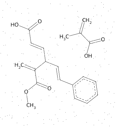 C=C(C(=O)OC)C(C=CC(=O)O)C=Cc1ccccc1.C=C(C)C(=O)O